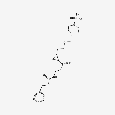 CCCC(CCNC(=O)OCc1ccccc1)[C@H]1C[C@H]1CCOCC1CCN(S(=O)(=O)CC)CC1